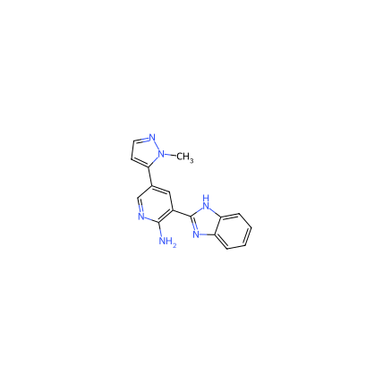 Cn1nccc1-c1cnc(N)c(-c2nc3ccccc3[nH]2)c1